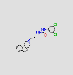 O=C(NCCCCN1CCC2(CCc3ccccc32)CC1)Nc1cc(Cl)cc(Cl)c1